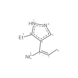 C/C=C(/C#N)c1cn[nH]c1CC